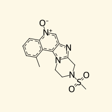 Cc1cccc2c1c1c(c[n+]2[O-])nc2n1CCN(S(C)(=O)=O)C2